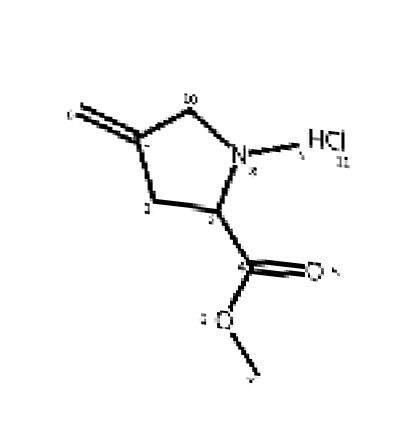 C=C1CC(C(=O)OC)N(C)C1.Cl